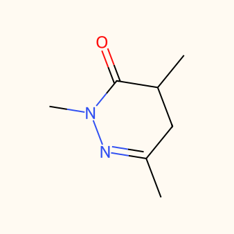 CC1=NN(C)C(=O)C(C)C1